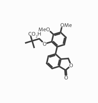 COc1ccc(-c2cccc3c2COC3=O)c(OCC(C)(C)C(=O)O)c1OC